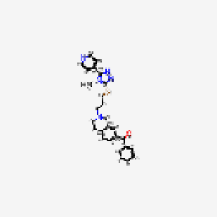 Cn1c(SCCCN2CCc3ccc(C(=O)c4ccccc4)cc3C2)nnc1-c1ccncc1